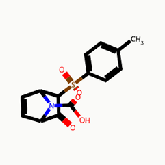 Cc1ccc(S(=O)(=O)C2C(=O)C3C=CC2N3C(=O)O)cc1